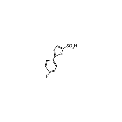 O=S(=O)(O)c1ccc(-c2ccc(F)cc2)s1